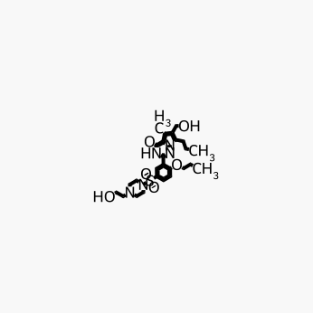 CCCOc1ccc(S(=O)(=O)N2CCN(CCO)CC2)cc1-c1nn2c(CCC)c(CO)c(C)c2c(=O)[nH]1